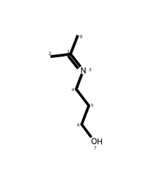 CC(C)=NCCCO